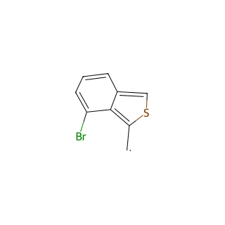 [CH2]c1scc2cccc(Br)c12